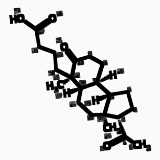 CC(=O)[C@H]1CC[C@H]2[C@@H]3CCC(=O)[C@](C)(CCCC(=O)O)[C@H]3CC[C@]12C